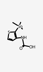 [CH3][Sn]([CH3])([CH3])[c]1sccc1NC(=O)O